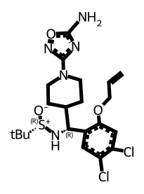 C=CCOc1cc(Cl)c(Cl)cc1[C@H](N[S@@+]([O-])C(C)(C)C)C1CCN(c2noc(N)n2)CC1